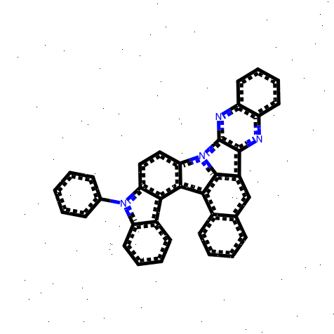 c1ccc(-n2c3ccccc3c3c4c5c6ccccc6cc6c7nc8ccccc8nc7n(c4ccc32)c65)cc1